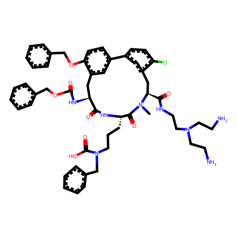 CN1C(=O)[C@H](CCCN(Cc2ccccc2)C(=O)O)NC(=O)[C@@H](NC(=O)OCc2ccccc2)Cc2cc(ccc2OCc2ccccc2)-c2ccc(Cl)c(c2)C[C@H]1C(=O)NCCN(CCN)CCN